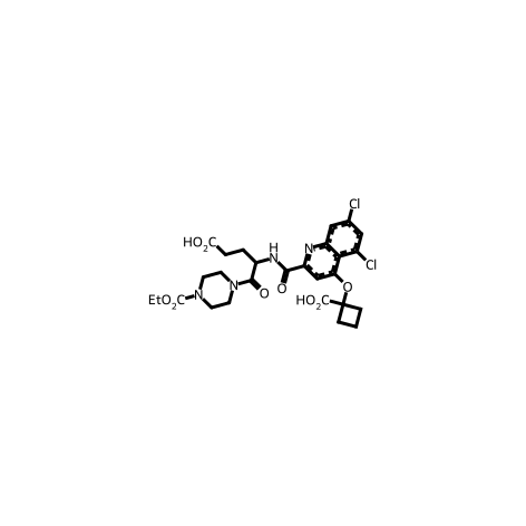 CCOC(=O)N1CCN(C(=O)C(CCC(=O)O)NC(=O)c2cc(OC3(C(=O)O)CCC3)c3c(Cl)cc(Cl)cc3n2)CC1